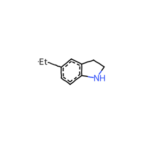 C[CH]c1ccc2c(c1)CCN2